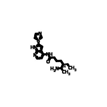 CC[C@H](CCCC(=O)Nc1ccnc2[nH]c(-n3ccnc3)cc12)C(C)N